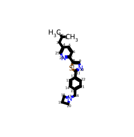 CC(C)Cc1ccc(-c2cnc(-c3ccc(CN4CCC4)cc3)s2)nc1